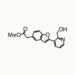 COC(=O)Cc1ccc2oc(-c3cccnc3CO)cc2c1